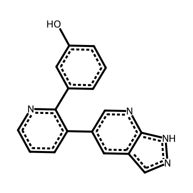 Oc1cccc(-c2ncccc2-c2cnc3[nH]ncc3c2)c1